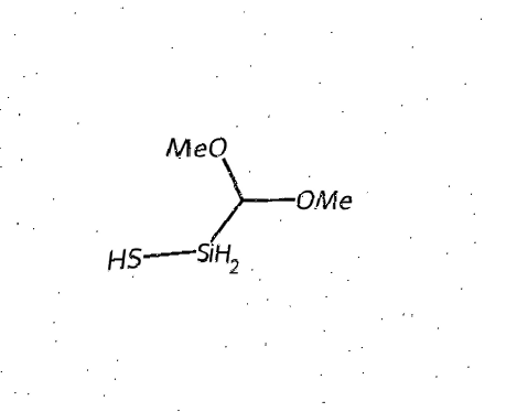 COC(OC)[SiH2]S